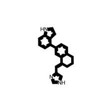 C(=C1/CCCc2ccc(-c3cccc4[nH]ccc34)cc21)/c1c[nH]cn1